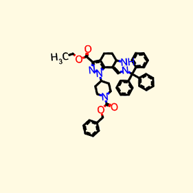 CCOC(=O)c1nn(C2CCN(C(=O)OCc3ccccc3)CC2)c2c1CCC1NN(C(c3ccccc3)(c3ccccc3)c3ccccc3)C=C21